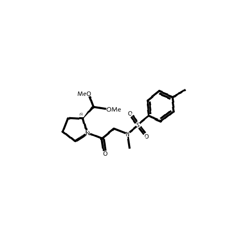 COC(OC)[C@@H]1CCCN1C(=O)CN(C)S(=O)(=O)c1ccc(C)cc1